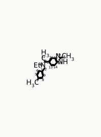 CCN(Cc1ccc(C)cc1)C(C)c1ccc2[nH]c(C)nc2c1